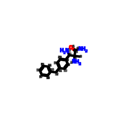 CC(N)(C(N)=O)C(N)c1ccc(Cc2ccccc2)cc1